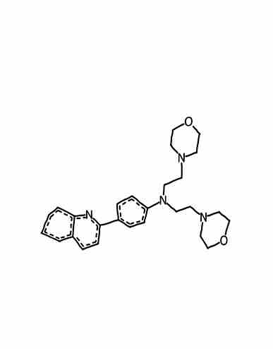 c1ccc2nc(-c3ccc(N(CCN4CCOCC4)CCN4CCOCC4)cc3)ccc2c1